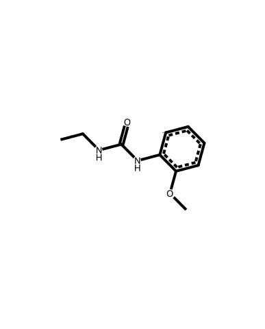 CCNC(=O)Nc1[c]cccc1OC